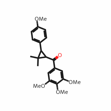 COc1ccc(C2C(C(=O)c3cc(OC)c(OC)c(OC)c3)C2(C)C)cc1